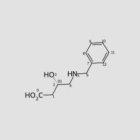 O=C(O)C[C@H](O)CNCc1ccccc1